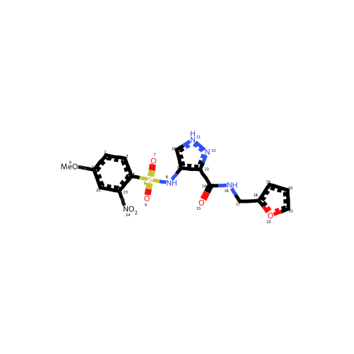 COc1ccc(S(=O)(=O)Nc2c[nH]nc2C(=O)NCc2ccco2)c([N+](=O)[O-])c1